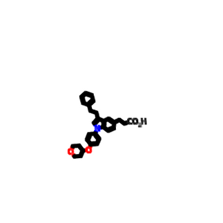 O=C(O)CCc1ccc2c(c1)c(CCc1ccccc1)cn2-c1ccc(OC2CCOCC2)cc1